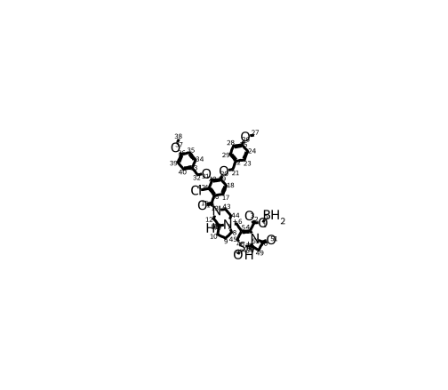 BOC(=O)C1=C(C[N+]23CCC[C@H]2CN(C(=O)c2ccc(OCc4ccc(OC)cc4)c(OCc4ccc(OC)cc4)c2Cl)CC3)C[S+]([O-])[C@@H]2CC(=O)N12